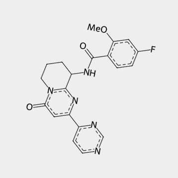 COc1cc(F)ccc1C(=O)NC1CCCn2c1nc(-c1ccncn1)cc2=O